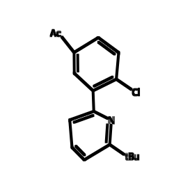 CC(=O)c1ccc(Cl)c(-c2cccc(C(C)(C)C)n2)c1